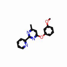 COc1cccc(Oc2cc(C)nc(-c3ccccn3)n2)c1